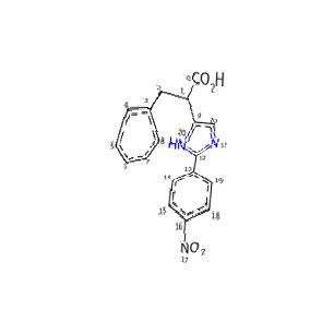 O=C(O)C(Cc1ccccc1)c1cnc(-c2ccc([N+](=O)[O-])cc2)[nH]1